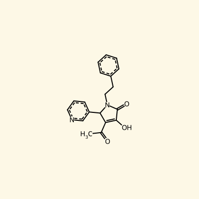 CC(=O)C1=C(O)C(=O)N(CCc2ccccc2)C1c1cccnc1